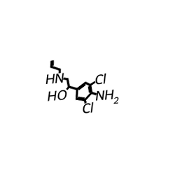 C=CCNCC(O)c1cc(Cl)c(N)c(Cl)c1